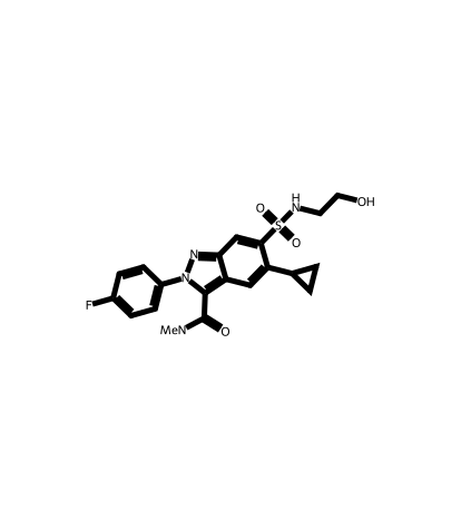 CNC(=O)c1c2cc(C3CC3)c(S(=O)(=O)NCCO)cc2nn1-c1ccc(F)cc1